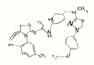 Cc1ccc(C(C)C)c(N2C(=O)CS/C2=N\C(=O)Nc2ccc(CN(C)c3ncn(-c4ccc(OC(F)(F)F)cc4)n3)cn2)c1